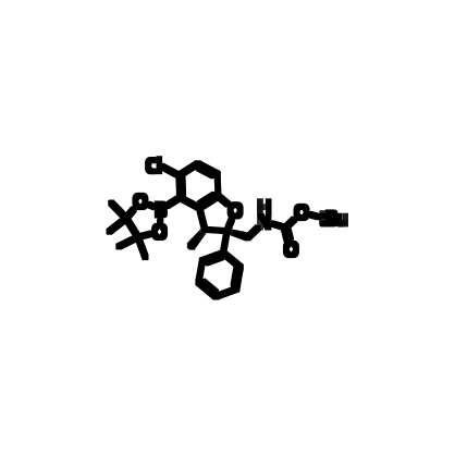 C[C@H]1c2c(ccc(Cl)c2B2OC(C)(C)C(C)(C)O2)O[C@]1(CNC(=O)OC(C)(C)C)c1ccccc1